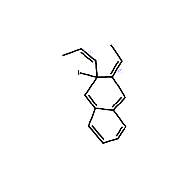 C/C=C\C1(I)C=c2ccccc2=C/C1=C/C